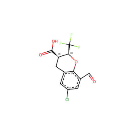 O=Cc1cc(Cl)cc2c1O[C@H](C(F)(F)F)[C@H](C(=O)O)C2